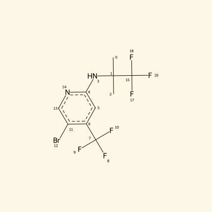 CC(C)(Nc1cc(C(F)(F)F)c(Br)cn1)C(F)(F)F